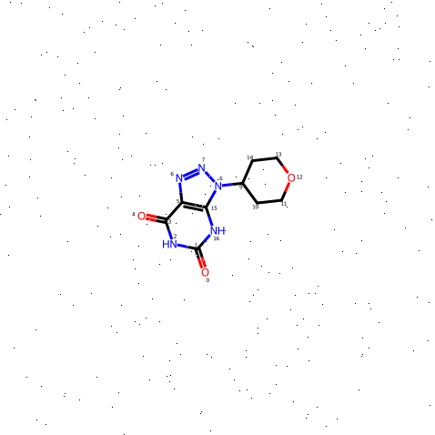 O=c1[nH]c(=O)c2nnn(C3CCOCC3)c2[nH]1